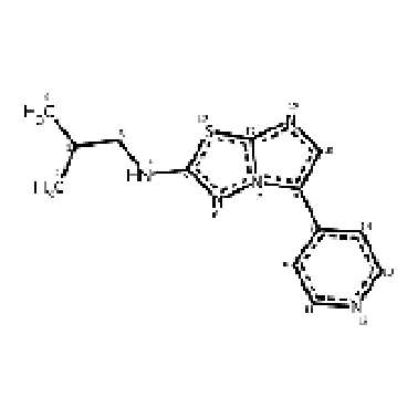 CC(C)CNc1nn2c(-c3ccncc3)cnc2s1